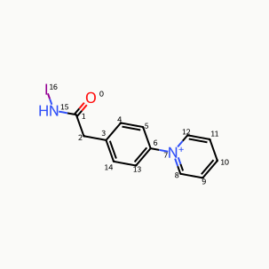 O=C(Cc1ccc(-[n+]2ccccc2)cc1)NI